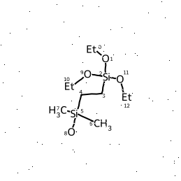 CCO[Si](CC[Si](C)(C)[O])(OCC)OCC